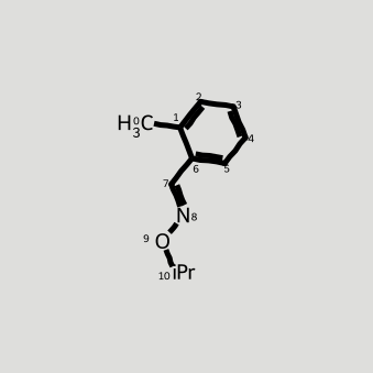 Cc1ccccc1/[C]=N/OC(C)C